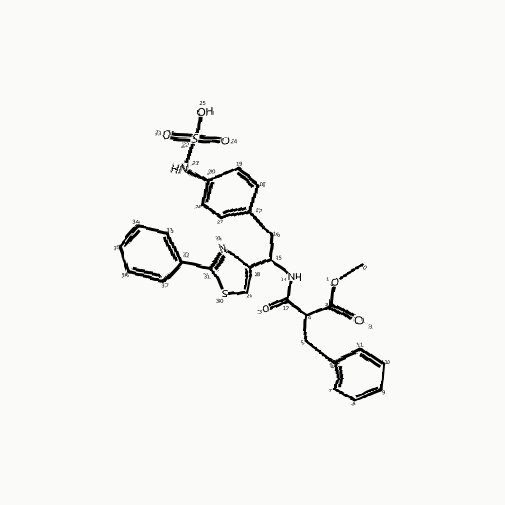 COC(=O)C(Cc1ccccc1)C(=O)NC(Cc1ccc(NS(=O)(=O)O)cc1)c1csc(-c2ccccc2)n1